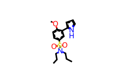 CCCN(CCC)S(=O)(=O)c1ccc(OC)c(-c2ccc[nH]2)c1